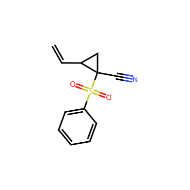 C=CC1CC1(C#N)S(=O)(=O)c1ccccc1